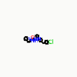 O=C(Nc1ccc2ccccc2n1)N[C@@H]1CCC[C@H]1N1CCC(Cc2ccc(Cl)cc2)CC1